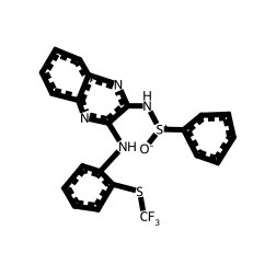 [O-][S+](Nc1nc2ccccc2nc1Nc1ccccc1SC(F)(F)F)c1ccccc1